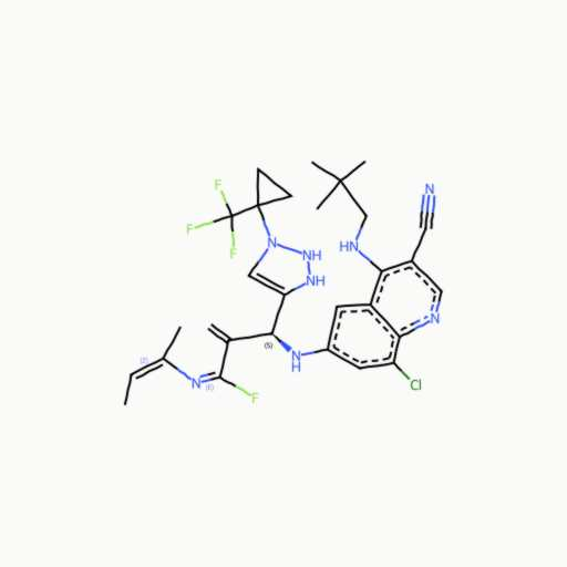 C=C(/C(F)=N\C(C)=C/C)[C@H](Nc1cc(Cl)c2ncc(C#N)c(NCC(C)(C)C)c2c1)C1=CN(C2(C(F)(F)F)CC2)NN1